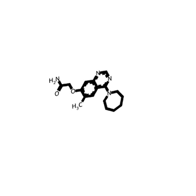 Cc1cc2c(N3CCCCCC3)ncnc2cc1OCC(N)=O